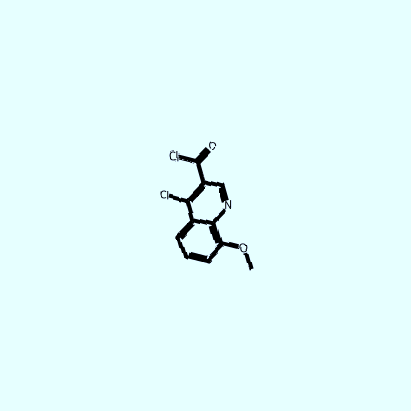 COc1cccc2c(Cl)c(C(=O)Cl)cnc12